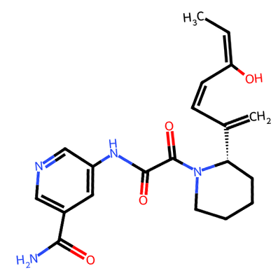 C=C(/C=C\C(O)=C/C)[C@@H]1CCCCN1C(=O)C(=O)Nc1cncc(C(N)=O)c1